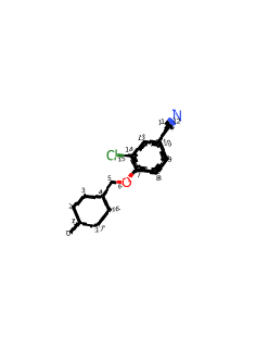 CC1CCC(COc2ccc(C#N)cc2Cl)CC1